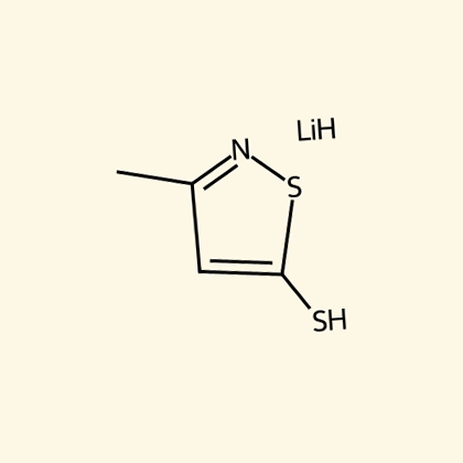 Cc1cc(S)sn1.[LiH]